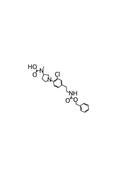 CN(C(=O)O)C1CCN(c2ccc(CCNC(=O)OCc3ccccc3)cc2Cl)C1